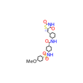 COc1ccc(S(=O)(=O)Nc2ccc(C(=O)Nc3cccc(/C=C4/SC(=O)NC4=O)c3)cc2)cc1